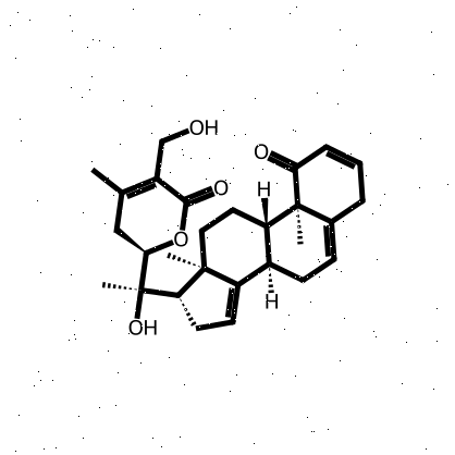 CC1=C(CO)C(=O)O[C@@H]([C@](C)(O)[C@H]2CC=C3[C@@H]4CC=C5CC=CC(=O)[C@]5(C)[C@H]4CC[C@@]32C)C1